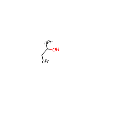 CC[CH]C(O)CCCC